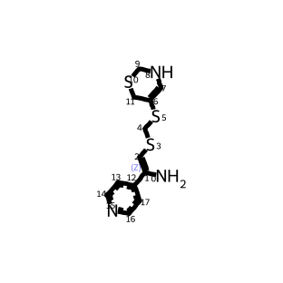 N/C(=C\SCSC1=CNCSC1)c1ccncc1